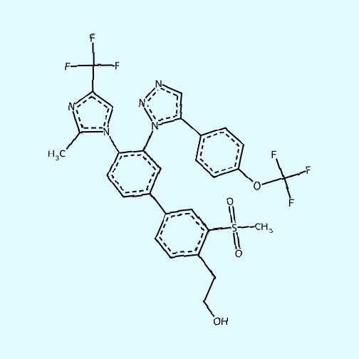 Cc1nc(C(F)(F)F)cn1-c1ccc(-c2ccc(CCO)c(S(C)(=O)=O)c2)cc1-n1nncc1-c1ccc(OC(F)(F)F)cc1